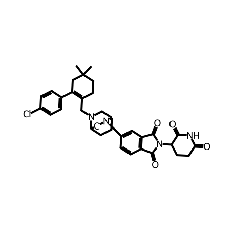 CC1(C)CCC(CN2CC3CCC2CN3c2ccc3c(c2)C(=O)N(C2CCC(=O)NC2=O)C3=O)=C(c2ccc(Cl)cc2)C1